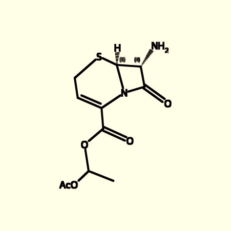 CC(=O)OC(C)OC(=O)C1=CCS[C@H]2[C@H](N)C(=O)N12